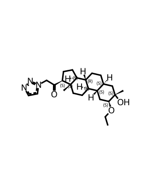 CCO[C@H]1C[C@H]2[C@@H](CC[C@@H]3[C@@H]2CC[C@]2(C)[C@@H](C(=O)Cn4ccnn4)CC[C@@H]32)C[C@]1(C)O